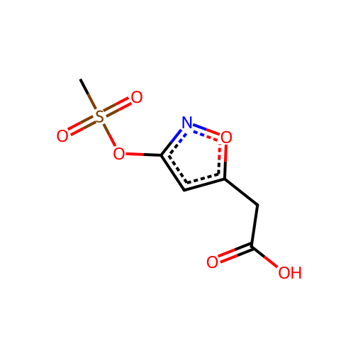 CS(=O)(=O)Oc1cc(CC(=O)O)on1